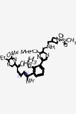 C=C(/C=C\C=C(/CCC)c1cccc(-c2cnc(CNCC3CN(S(C)(=O)=O)C3)c(OC)n2)c1C)C1CN=C(CC)C(OC)=N1